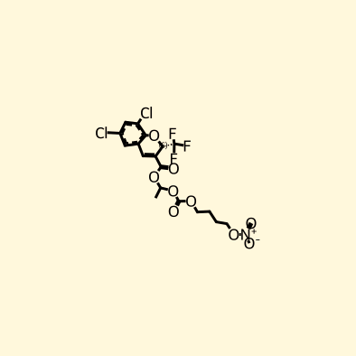 CC(OC(=O)OCCCCO[N+](=O)[O-])OC(=O)C1=Cc2cc(Cl)cc(Cl)c2O[C@@H]1C(F)(F)F